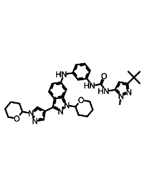 Cn1nc(C(C)(C)C)cc1NC(=O)Nc1cccc(Nc2ccc3c(-c4cnn(C5CCCCO5)c4)nn(C4CCCCO4)c3c2)c1